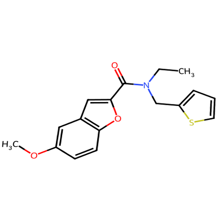 CCN(Cc1cccs1)C(=O)c1cc2cc(OC)ccc2o1